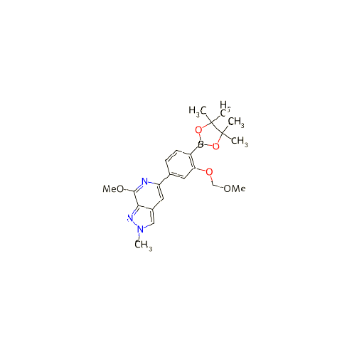 COCOc1cc(-c2cc3cn(C)nc3c(OC)n2)ccc1B1OC(C)(C)C(C)(C)O1